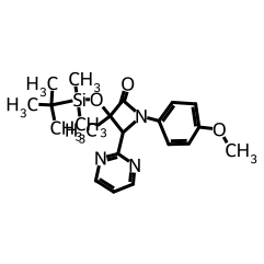 COc1ccc(N2C(=O)C(C)(O[Si](C)(C)C(C)(C)C)C2c2ncccn2)cc1